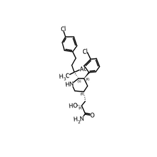 CC(=O)C(C)(CCc1ccc(Cl)cc1)[C@H]1NC[C@@H](C[C@@H](O)C(N)=O)C[C@@H]1c1cccc(Cl)c1